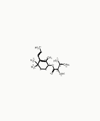 C/C=C/C1=C(C)C(OC(=O)C(OC(C)=O)C(OC(C)=O)C(=O)O)CCC1(C)C